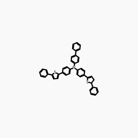 C1=C(c2ccc(N(c3ccc(-c4ccccc4)cc3)c3ccc(-c4ccc(-c5ccccc5)s4)cc3)cc2)SC(c2ccccc2)C1